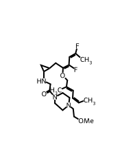 C/C=C\C=C(/C)CO/C(CC1CC1NCC(=O)N1CCN(CCOC)CC1)=C(F)/C=C(\C)F